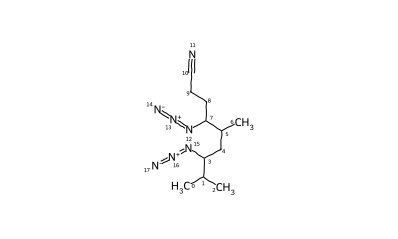 CC(C)C(CC(C)C(CCC#N)N=[N+]=[N-])N=[N+]=[N-]